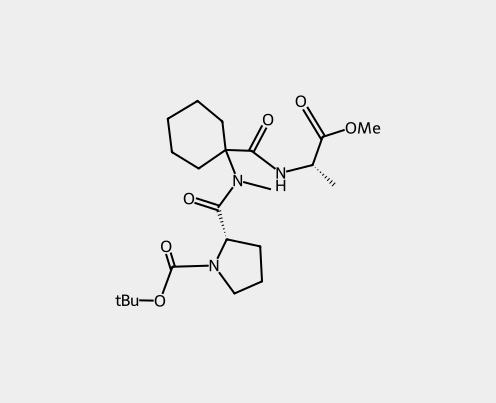 COC(=O)[C@H](C)NC(=O)C1(N(C)C(=O)[C@@H]2CCCN2C(=O)OC(C)(C)C)CCCCC1